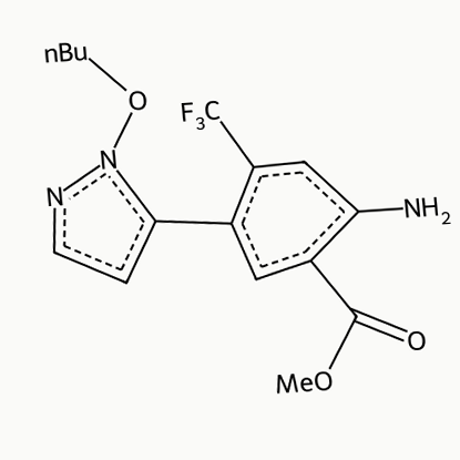 CCCCOn1nccc1-c1cc(C(=O)OC)c(N)cc1C(F)(F)F